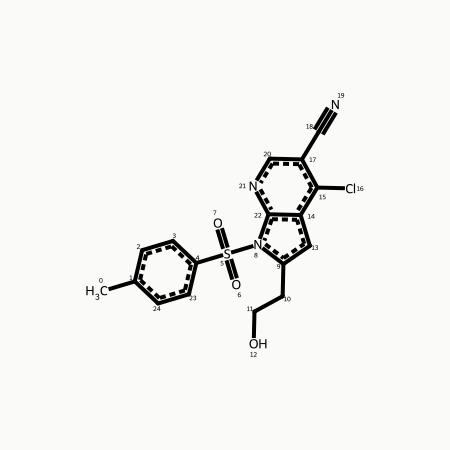 Cc1ccc(S(=O)(=O)n2c(CCO)cc3c(Cl)c(C#N)cnc32)cc1